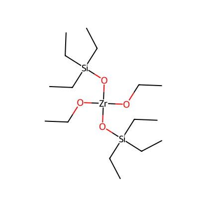 CC[O][Zr]([O]CC)([O][Si](CC)(CC)CC)[O][Si](CC)(CC)CC